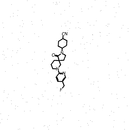 N#CC1CCC(N2CCC3(CCCN(c4ccc(CF)cn4)C3)C2=O)CC1